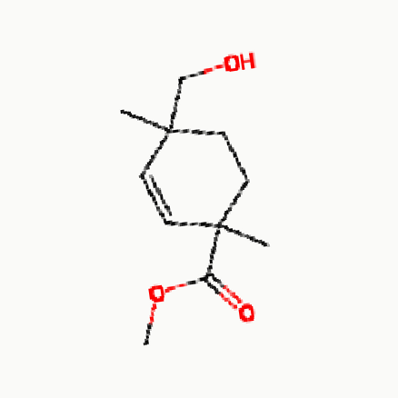 COC(=O)C1(C)C=CC(C)(CO)CC1